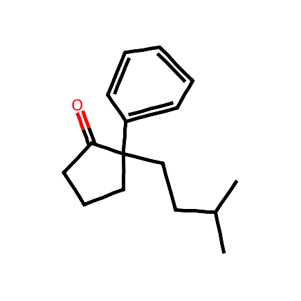 CC(C)CCC1(c2ccccc2)CCCC1=O